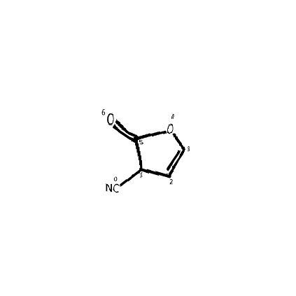 N#CC1C=COC1=O